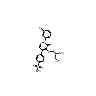 CC(CO)COc1c(-c2ccc(S(N)(=O)=O)cc2)cnn(-c2cccc(Cl)c2)c1=O